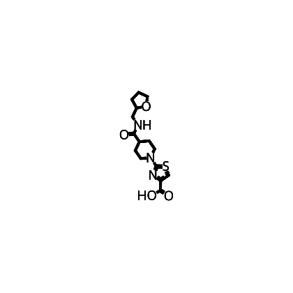 O=C(O)c1csc(N2CCC(C(=O)NCC3CCCO3)CC2)n1